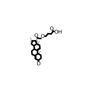 C[C@H]1CC2C3CCC4=CC(=O)CC[C@]4(C)C3=CC[C@]2(C)[C@H]1C(=O)COCCCC(=O)O